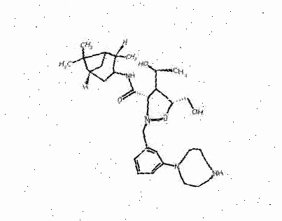 C[C@@H]1C(NC(=O)[C@@H]2C([C@H](C)O)[C@H](CO)ON2Cc2cccc(N3CCNCC3)c2)C[C@H]2CC1C2(C)C